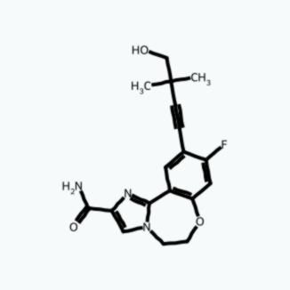 CC(C)(C#Cc1cc2c(cc1F)OCCn1cc(C(N)=O)nc1-2)CO